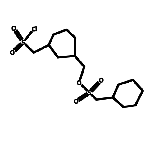 O=S(=O)(Cl)CC1CCCC(COS(=O)(=O)CC2CCCCC2)C1